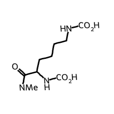 CNC(=O)C(CCCCNC(=O)O)NC(=O)O